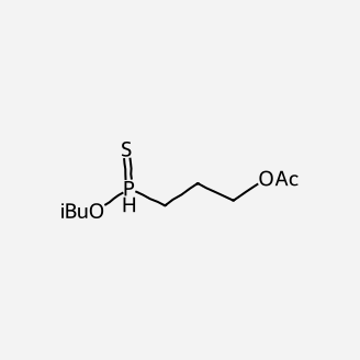 CC(=O)OCCC[PH](=S)OCC(C)C